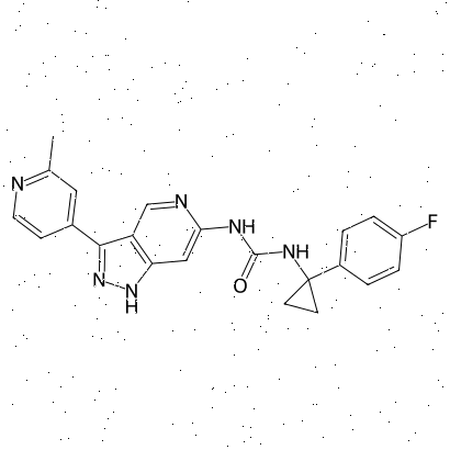 Cc1cc(-c2n[nH]c3cc(NC(=O)NC4(c5ccc(F)cc5)CC4)ncc23)ccn1